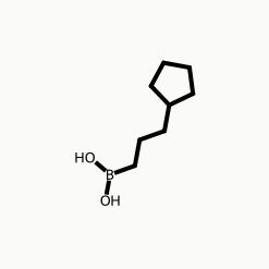 OB(O)CCCC1CCCC1